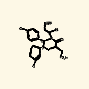 CCC(CNC(C)=O)N1C(=O)C(CC(=O)O)C[C@H](c2cccc(Cl)c2)[C@H]1c1ccc(Cl)cc1